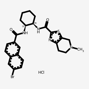 CN1CCc2nc(C(=O)N[C@@H]3CCCC[C@@H]3NC(=O)c3ccc4cc(Br)ccc4c3)sc2C1.Cl